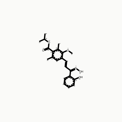 COc1c(C=CC(=NO)c2ccccc2O)cc(C)c(C(=O)OC(C)C)c1C